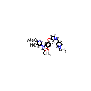 COc1ncc(N2CC(C)Oc3ccc(O[C@H]4CCN(CC5CCN(C)CC5)C4)cc32)cc1C#N